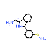 N/C=C1\NC(c2cccc(SN)c2)c2ccccc21